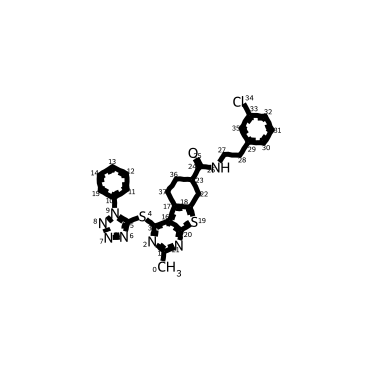 Cc1nc(Sc2nnnn2-c2ccccc2)c2c3c(sc2n1)CC(C(=O)NCCc1cccc(Cl)c1)CC3